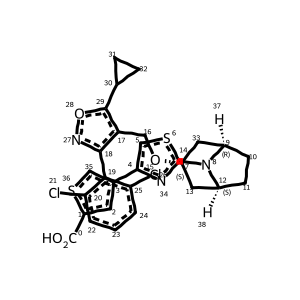 O=C(O)c1cc(-c2csc(N3[C@@H]4CC[C@H]3C[C@H](OCc3c(-c5c(Cl)cccc5Cl)noc3C3CC3)C4)n2)cs1